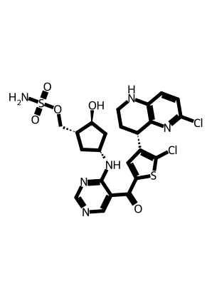 NS(=O)(=O)OC[C@H]1C[C@@H](Nc2ncncc2C(=O)c2cc([C@@H]3CCNc4ccc(Cl)nc43)c(Cl)s2)C[C@@H]1O